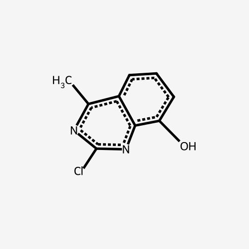 Cc1nc(Cl)nc2c(O)cccc12